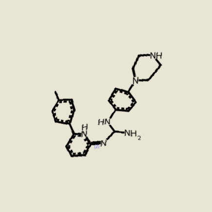 Cc1ccc(-c2ccc/c(=N/C(N)Nc3ccc(N4CCNCC4)cc3)[nH]2)cc1